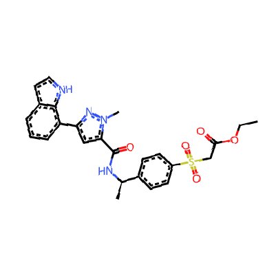 CCOC(=O)CS(=O)(=O)c1ccc([C@@H](C)NC(=O)c2cc(-c3cccc4cc[nH]c34)nn2C)cc1